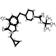 Cc1cc(CC2CCN(C(=O)OC(C)(C)C)CC2)cc2c1C(=O)N(CC1CC1)C2